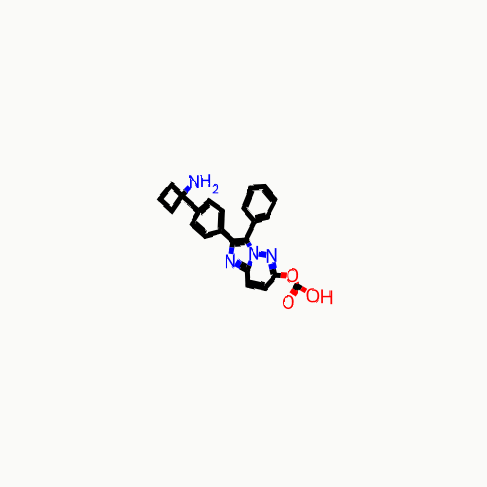 NC1(c2ccc(-c3nc4ccc(OC(=O)O)nn4c3-c3ccccc3)cc2)CCC1